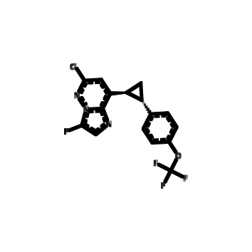 Fc1cnc2c([C@H]3C[C@@H]3c3ccc(OC(F)(F)F)cc3)cc(Cl)nn12